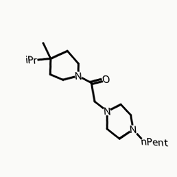 CCCCCN1CCN(CC(=O)N2CCC(C)(C(C)C)CC2)CC1